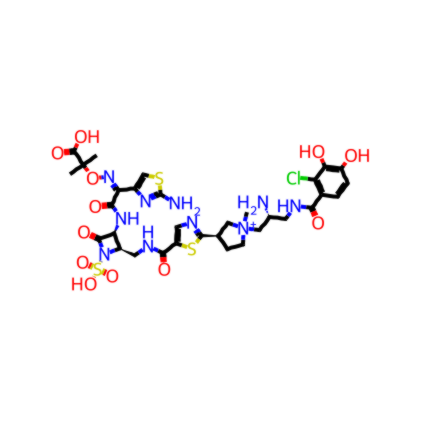 CC(C)(O/N=C(\C(=O)N[C@@H]1C(=O)N(S(=O)(=O)O)[C@@H]1CNC(=O)c1cnc([C@@H]2CC[N+](C)(C[C@H](N)CNC(=O)c3ccc(O)c(O)c3Cl)C2)s1)c1csc(N)n1)C(=O)O